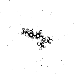 C=C(C)C(=C)OCC(COC(=O)C(=C)C)Cc1ccc(-c2ccc(OC(O)C(=C)C)cc2F)cc1F